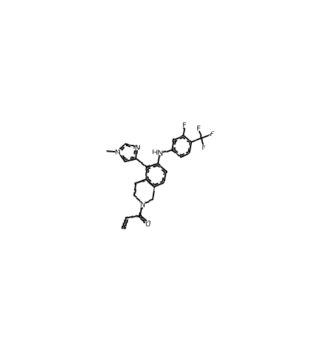 C=CC(=O)N1CCc2c(ccc(Nc3ccc(C(F)(F)F)c(F)c3)c2-c2cn(C)cn2)C1